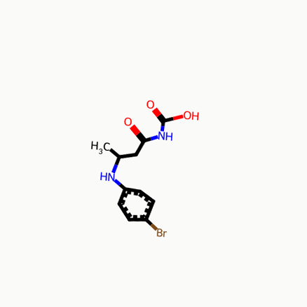 CC(CC(=O)NC(=O)O)Nc1ccc(Br)cc1